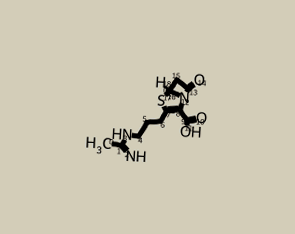 CC(=N)NCCCC1=C(C(=O)O)N2C(=O)C[C@H]2S1